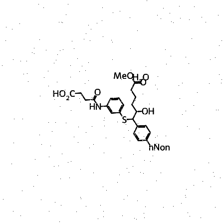 CCCCCCCCCc1ccc(C(Sc2cccc(NC(=O)CCC(=O)O)c2)C(O)CCCC(=O)OC)cc1.O